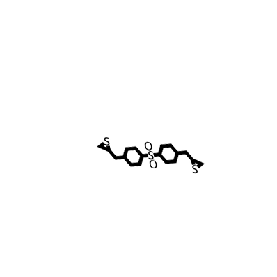 O=S(=O)(C1CCC(CC2CS2)CC1)C1CCC(CC2CS2)CC1